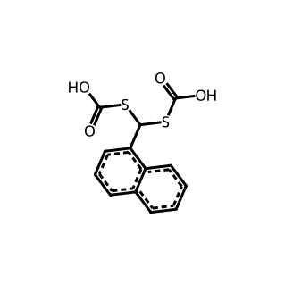 O=C(O)SC(SC(=O)O)c1cccc2ccccc12